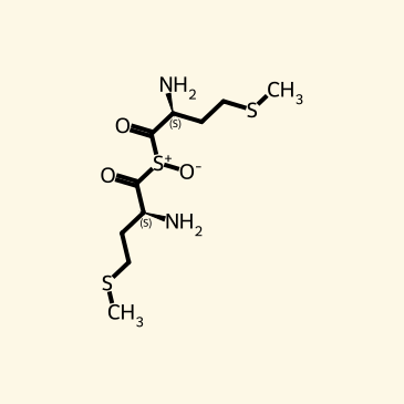 CSCC[C@H](N)C(=O)[S+]([O-])C(=O)[C@@H](N)CCSC